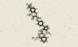 Cc1noc(-c2ccc(CNC(Cc3ccc(C(F)(F)F)cc3)C(=O)O)cc2)c1NC(=O)O[C@H](C)c1ccccc1